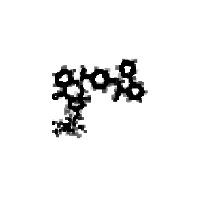 CC(C)(C)[Si](C)(C)O[C@@H]1C[C@H]2CN(C(=O)c3ccc(NC(=O)c4ccccc4-c4ccccc4)cc3)c3ccccc3C(=O)N2C1